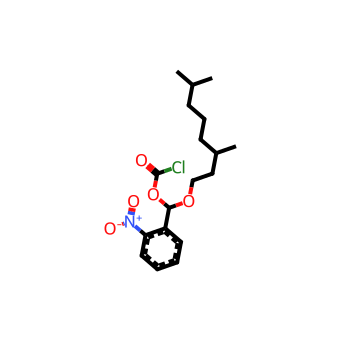 CC(C)CCCC(C)CCOC(OC(=O)Cl)c1ccccc1[N+](=O)[O-]